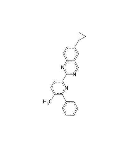 Cc1ccc(-c2ncc3cc(C4CC4)ccc3n2)nc1-c1ccccc1